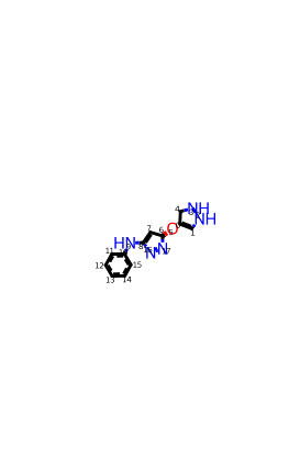 C1=CNNC1.O=C1C=C(Nc2ccccc2)N=N1